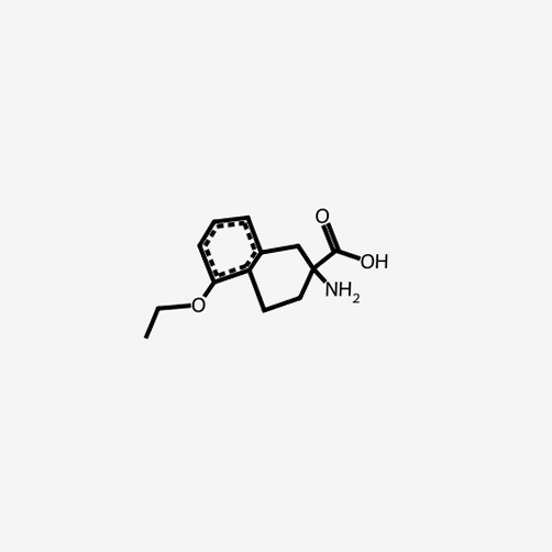 CCOc1cccc2c1CCC(N)(C(=O)O)C2